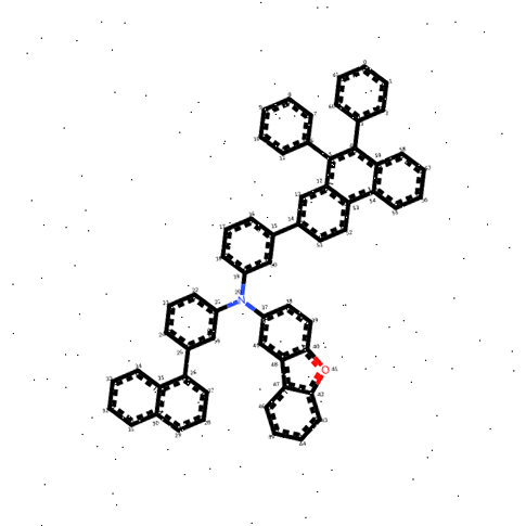 c1ccc(-c2c(-c3ccccc3)c3cc(-c4cccc(N(c5cccc(-c6cccc7ccccc67)c5)c5ccc6oc7ccccc7c6c5)c4)ccc3c3ccccc23)cc1